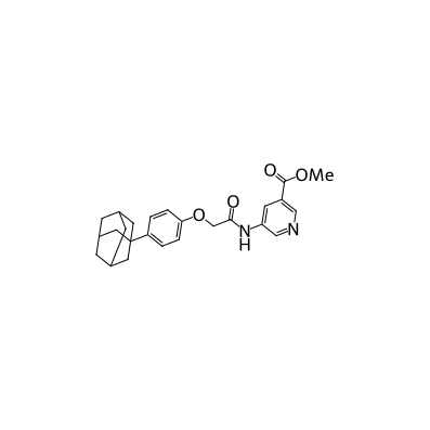 COC(=O)c1cncc(NC(=O)COc2ccc(C34CC5CC(CC(C5)C3)C4)cc2)c1